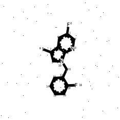 Fc1cnc2c(c1)c(I)cn2Cc1ccccc1F